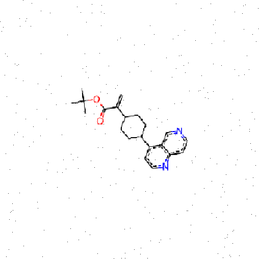 C=C(C(=O)OC(C)(C)C)C1CCC(c2ccnc3ccncc23)CC1